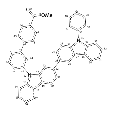 COC(=O)c1ccc(-c2cccc(-n3c4ccccc4c4ccc(-c5ccc6c(c5)c5ccccc5n6-c5ccccc5)cc43)n2)cc1